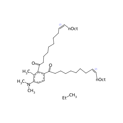 CCC.CCCCCCCC/C=C\CCCCCCCC(=O)c1ccc(N(C)C)c(C)c1C(=O)CCCCCCC/C=C\CCCCCCCC